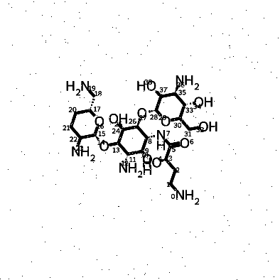 NCC[C@H](O)C(=O)N[C@@H]1C(O)[C@H](N)C(O[C@H]2O[C@@H](CN)CCC2N)C(O)[C@H]1O[C@H]1OC(CO)[C@@H](O)[C@H](N)C1O